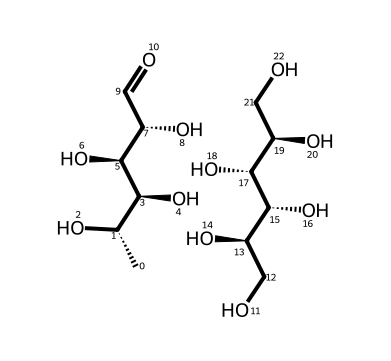 C[C@H](O)[C@H](O)[C@@H](O)[C@@H](O)C=O.OC[C@@H](O)[C@@H](O)[C@H](O)[C@H](O)CO